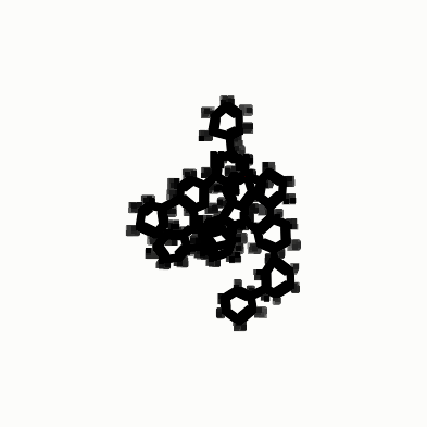 c1ccc(-c2cccc(-c3ccc(-c4cccc(-c5nc(-c6ccccc6)nc(-c6ccc(-c7ccccc7)c(-n7c8ccccc8c8ccccc87)c6)n5)c4)c(-n4c5ccccc5c5ccccc54)c3)c2)cc1